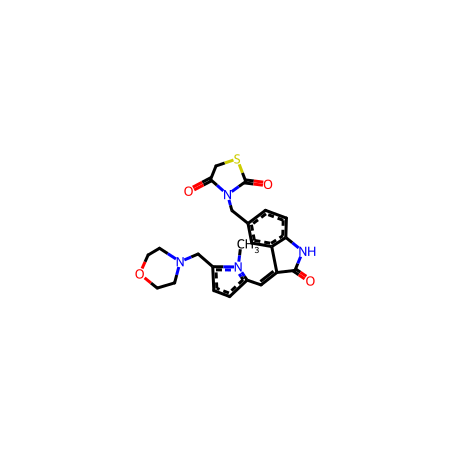 Cn1c(C=C2C(=O)Nc3ccc(CN4C(=O)CSC4=O)cc32)ccc1CN1CCOCC1